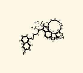 Cc1ccc2c(C(C)CCOc3cccc4cc(F)ccc34)c(C(=O)O)n3c2c1-c1c(n[nH]c1C)COCCCC3